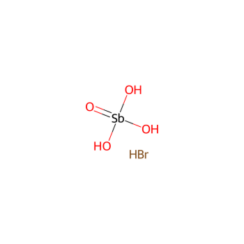 Br.[O]=[Sb]([OH])([OH])[OH]